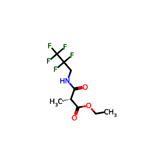 CCOC(=O)[C@H](C)C(=O)NCC(F)(F)C(F)(F)F